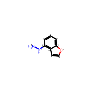 NNc1cccc2occc12